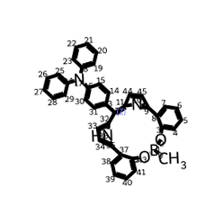 CB1Oc2ccccc2C2=N/C(=C(/c3ccc(N(c4ccccc4)c4ccccc4)cc3)c3ccc([nH]3)-c3ccccc3O1)C=C2